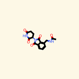 CC(=O)NCc1cccc2c1C(=O)N([C@@H]1CCC(=O)NC1=O)C2=O